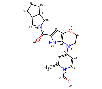 C=C1C=C(N2CCOc3cc(C(=O)N4CC5CCCC5C4)[nH]c32)C=CN1C=O